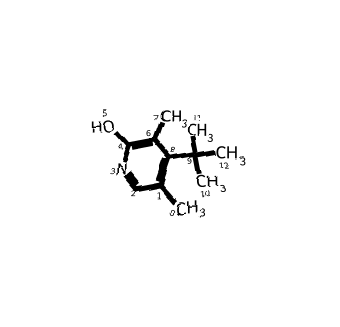 Cc1cnc(O)c(C)c1C(C)(C)C